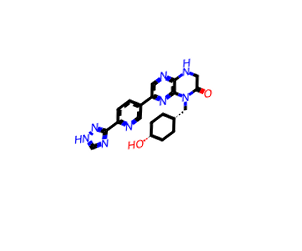 O=C1CNc2ncc(-c3ccc(-c4nc[nH]n4)nc3)nc2N1C[C@H]1CC[C@@H](O)CC1